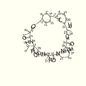 CC(C)[C@@H]1NC(=O)C(C)(C)Oc2ccc(cc2)-c2cccc(c2)[C@@H](C)OC(=O)[C@@H]2CCCN(N2)C(=O)[C@H](C)NC1=O